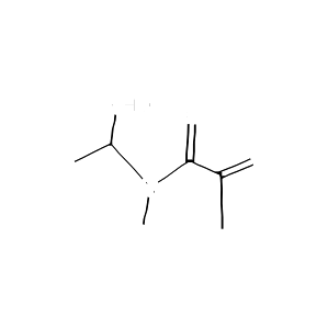 C=C(C)C(=O)N(C)C(C)C=O